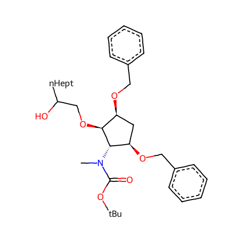 CCCCCCCC(O)CO[C@@H]1[C@@H](N(C)C(=O)OC(C)(C)C)[C@H](OCc2ccccc2)C[C@@H]1OCc1ccccc1